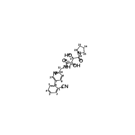 N#Cc1ccccc1-c1ccc(CNC(=O)C(O)[C@@H](O)C(=O)N2CCCC2)nc1